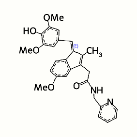 COc1ccc2c(c1)C(CC(=O)NCc1ccccn1)=C(C)/C2=C/c1cc(OC)c(O)c(OC)c1